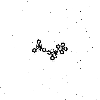 c1ccc(-c2nc(-c3ccccc3)nc(-c3ccc(-c4ccc5c(c4)Oc4cc(N6c7ccccc7[Si](c7ccccc7)(c7ccccc7)c7ccccc76)cc6c4B5c4ccccc4S6)cc3)n2)cc1